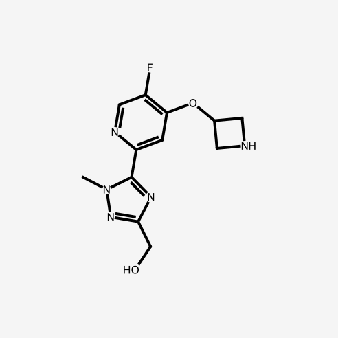 Cn1nc(CO)nc1-c1cc(OC2CNC2)c(F)cn1